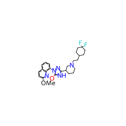 COc1ccc2cccc(-n3nc(C4CCCN(CCC5CCC(F)(F)CC5)C4)[nH]c3=O)c2n1